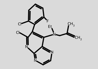 C=C(C)CN(CC)c1c(-c2c(F)cccc2Cl)c(Cl)nc2nccnc12